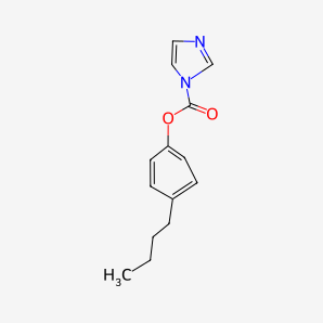 CCCCc1ccc(OC(=O)n2ccnc2)cc1